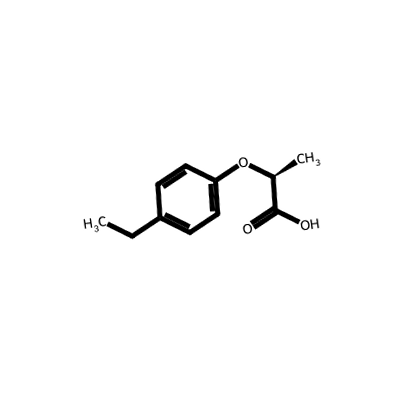 CCc1ccc(O[C@@H](C)C(=O)O)cc1